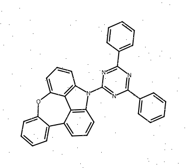 c1ccc(-c2nc(-c3ccccc3)nc(-n3c4cccc5oc6ccccc6c6cccc3c6c54)n2)cc1